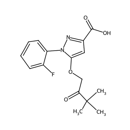 CC(C)(C)C(=O)COc1cc(C(=O)O)nn1-c1ccccc1F